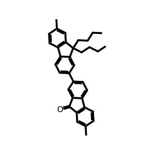 CCCCC1(CCCC)c2cc(C)ccc2-c2ccc(-c3ccc4c(c3)C(=O)c3cc(C)ccc3-4)cc21